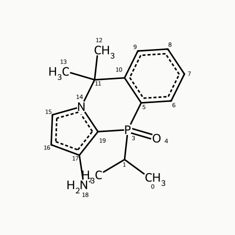 CC(C)P1(=O)c2ccccc2C(C)(C)n2ccc(N)c21